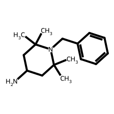 CC1(C)CC(N)CC(C)(C)N1Cc1ccccc1